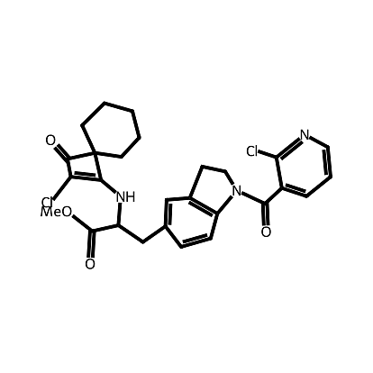 COC(=O)C(Cc1ccc2c(c1)CCN2C(=O)c1cccnc1Cl)NC1=C(Cl)C(=O)C12CCCCC2